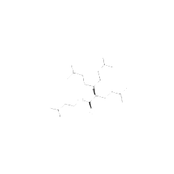 CC(C)CCOC(=O)C(CCC(C)C)=C(CCC(C)C)CCC(C)C